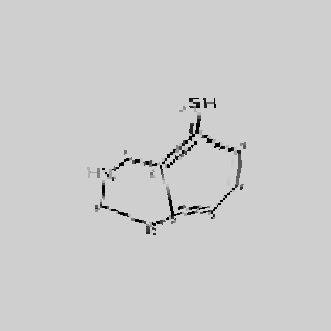 Sc1cccc2c1CNCC2